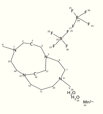 CN1CCCN2CCN(C)CCCN(CC1)CC2.F[B-](F)(F)F.F[B-](F)(F)F.O.O.[Mn+2]